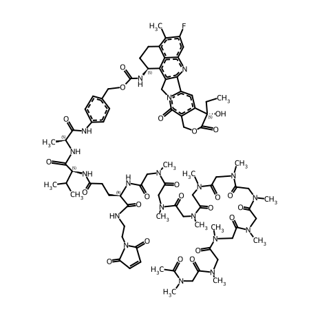 CC[C@@]1(O)C(=O)OCc2c1cc1n(c2=O)Cc2c-1nc1cc(F)c(C)c3c1c2[C@@H](NC(=O)OCc1ccc(NC(=O)[C@H](C)NC(=O)[C@@H](NC(=O)CC[C@@H](NC(=O)CN(C)C(=O)CN(C)C(=O)CN(C)C(=O)CN(C)C(=O)CN(C)C(=O)CN(C)C(=O)CN(C)C(=O)CN(C)C(=O)CN(C)C(=O)CN(C)C(C)=O)C(=O)NCCN2C(=O)C=CC2=O)C(C)C)cc1)CC3